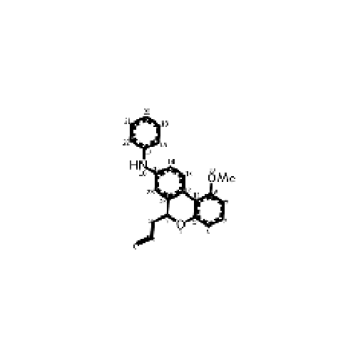 C=CCC1Oc2cccc(OC)c2-c2ccc(Nc3ccccc3)cc21